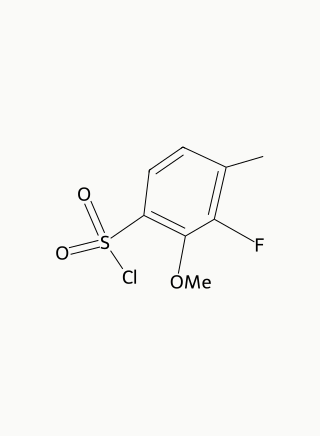 COc1c(S(=O)(=O)Cl)ccc(C)c1F